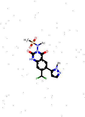 CC(=O)N(n1c(=O)[nH]c2cc(C(F)F)c(-c3ccnn3C(C)C)cc2c1=O)S(C)(=O)=O